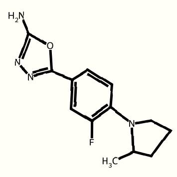 CC1CCCN1c1ccc(-c2nnc(N)o2)cc1F